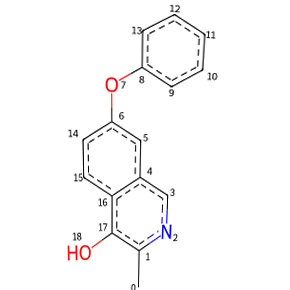 Cc1ncc2cc(Oc3ccccc3)ccc2c1O